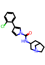 O=C(NC1CC2CCN(C2)C1)n1ccc(-c2ccccc2Cl)c1